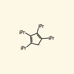 CC(C)C1=C(C(C)C)C(C(C)C)=C(C(C)C)[CH]1